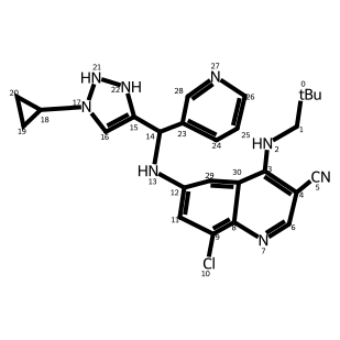 CC(C)(C)CNc1c(C#N)cnc2c(Cl)cc(NC(C3=CN(C4CC4)NN3)c3cccnc3)cc12